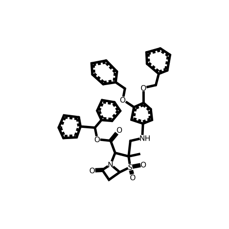 CC1(CNc2ccc(OCc3ccccc3)c(OCc3ccccc3)c2)C(C(=O)OC(c2ccccc2)c2ccccc2)N2C(=O)CC2S1(=O)=O